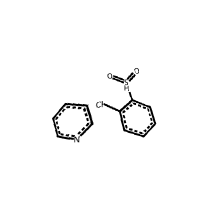 O=[SH](=O)c1ccccc1Cl.c1ccncc1